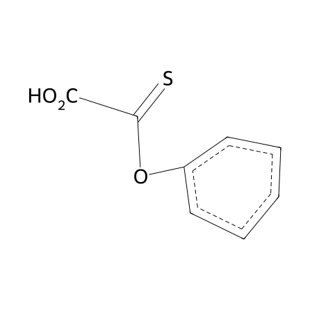 O=C(O)C(=S)Oc1ccccc1